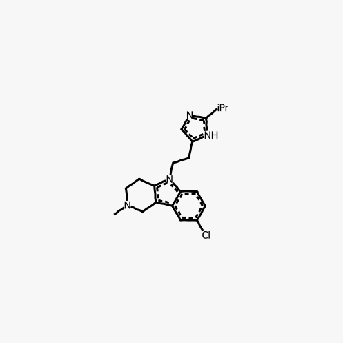 CC(C)c1ncc(CCn2c3c(c4cc(Cl)ccc42)CN(C)CC3)[nH]1